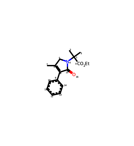 CCOC(=O)C(C)(C)N1CC(C)=C(c2ccccc2)C1=O